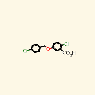 O=C(O)c1cc(OCc2ccc(Cl)cc2)ccc1Cl